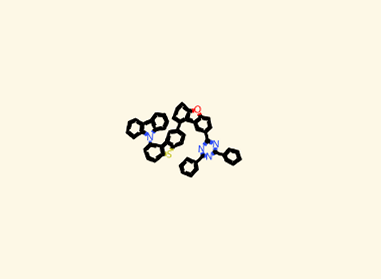 c1ccc(-c2nc(-c3ccccc3)nc(-c3ccc4oc5cccc(-c6ccc7sc8cccc(-n9c%10ccccc%10c%10ccccc%109)c8c7c6)c5c4c3)n2)cc1